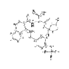 C=C(CC(Cl)(CC)CCCl)[C@H](NC(=O)c1ccc2ccccc2c1NCc1ccc(SC(F)(F)F)cc1)C(=O)O